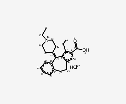 CCc1c(C(=O)O)sc2c1C(=C1CCN(CC)CC1)c1ccccc1CC2.Cl